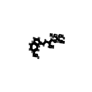 CC(C)(C)[Si](C)(C)OCC(O)CCn1ccc2ccc([N+](=O)[O-])cc21